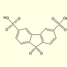 O=S(=O)(O)c1ccc2c(c1)-c1cc(S(=O)(=O)O)ccc1S2(=O)=O